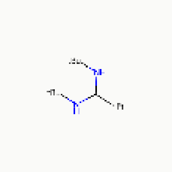 CCCC(NC(C)(C)C)NC(C)(C)C